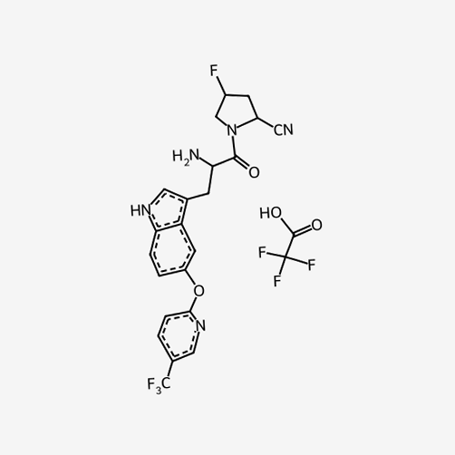 N#CC1CC(F)CN1C(=O)C(N)Cc1c[nH]c2ccc(Oc3ccc(C(F)(F)F)cn3)cc12.O=C(O)C(F)(F)F